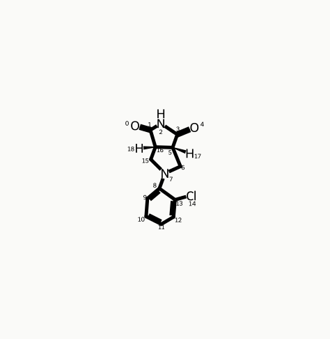 O=C1NC(=O)[C@@H]2CN(c3ccccc3Cl)C[C@H]12